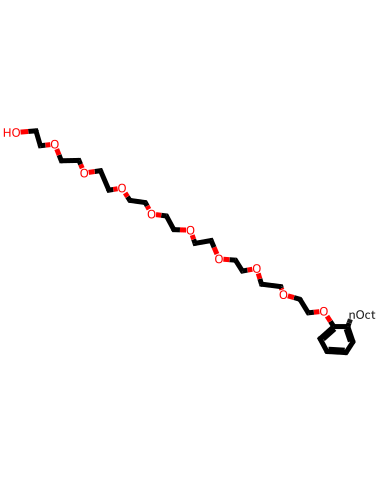 CCCCCCCCc1ccccc1OCCOCCOCCOCCOCCOCCOCCOCCOCCO